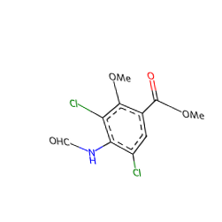 COC(=O)c1cc(Cl)c(NC=O)c(Cl)c1OC